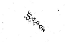 CCC(=O)Cn1c(=O)c(NCC(=O)Nc2csc(-c3cnc(C(F)(F)F)c(C)c3)n2)c(N)n(C)c1=O